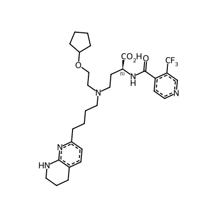 O=C(N[C@@H](CCN(CCCCc1ccc2c(n1)NCCC2)CCOC1CCCC1)C(=O)O)c1ccncc1C(F)(F)F